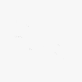 CNc1c(C(=N)c2cnn(P)c2)ccn1P